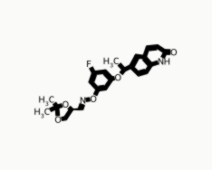 CC(Oc1cc(F)cc(O/N=C/[C@H]2COC(C)(C)O2)c1)c1ccc2[nH]c(=O)ccc2c1